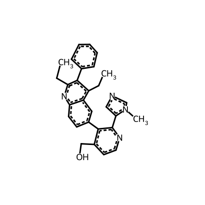 CCc1nc2ccc(-c3c(CO)ccnc3-c3cncn3C)cc2c(CC)c1-c1ccccc1